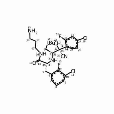 CC(C)(C)C[C@H](N[C@H](Cc1cccc(Cl)c1F)C(=O)NCCCN)[C@](C)(C#N)c1ccc(Cl)cc1F